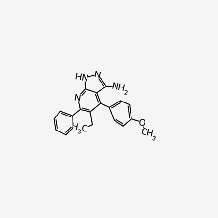 CCc1c(-c2ccccc2)nc2[nH]nc(N)c2c1-c1ccc(OC)cc1